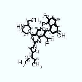 CCC1CN(c2nc(N3CC(N(CC)CC)C3)nc3c(C(F)F)c(-c4cc(O)cc5ccc(F)c(F)c45)ncc23)CCN1